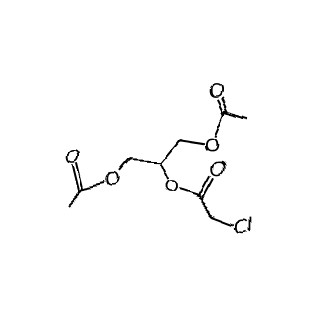 CC(=O)OCC(COC(C)=O)OC(=O)CCl